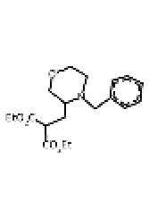 CCOC(=O)C(CC1COCCN1Cc1ccccc1)C(=O)OCC